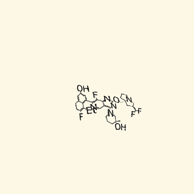 CCc1c(F)ccc2cc(O)cc(-c3ncc4c(N5CCC[C@@](C)(O)C5)nc(OC[C@]56CCCN5CC(=C(F)F)C6)nc4c3F)c12